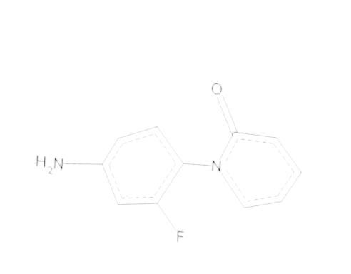 Nc1ccc(-n2ccccc2=O)c(F)c1